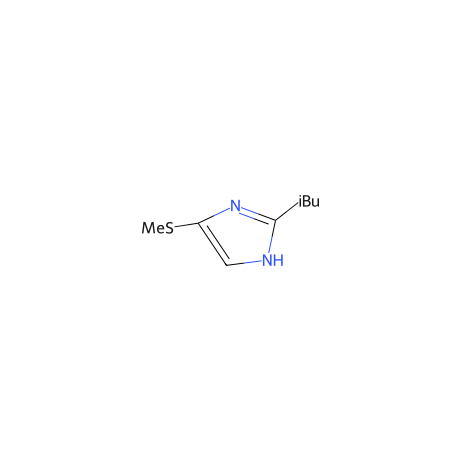 CCC(C)c1nc(SC)c[nH]1